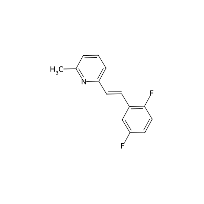 Cc1cccc(/C=C/c2cc(F)ccc2F)n1